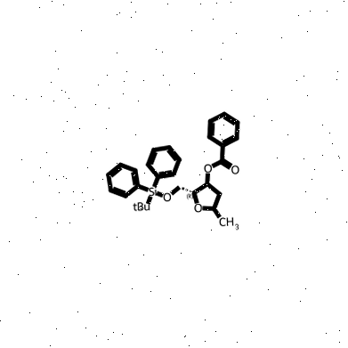 CC1CC(OC(=O)c2ccccc2)[C@@H](CO[Si](c2ccccc2)(c2ccccc2)C(C)(C)C)O1